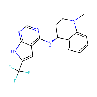 CN1CC[C@H](Nc2ncnc3[nH]c(C(F)(F)F)cc23)c2ccccc21